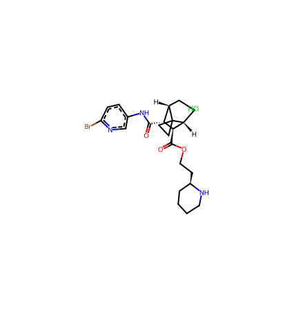 Cl.O=C(OCC[C@@H]1CCCCN1)[C@H]1[C@H](C(=O)Nc2ccc(Br)nc2)[C@@H]2CC[C@H]1C21CC1